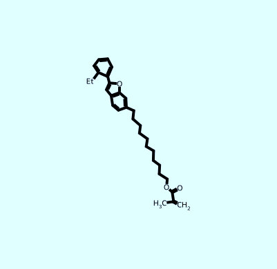 C=C(C)C(=O)OCCCCCCCCCCCc1ccc2cc(-c3ccccc3CC)oc2c1